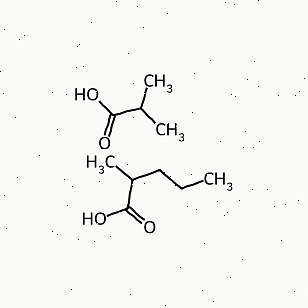 CC(C)C(=O)O.CCCC(C)C(=O)O